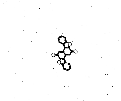 O=C1C=C2C(=CC(=O)c3oc4ccccc4c32)c2c1oc1ccccc21